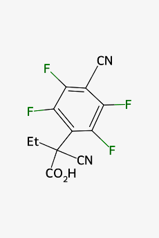 CCC(C#N)(C(=O)O)c1c(F)c(F)c(C#N)c(F)c1F